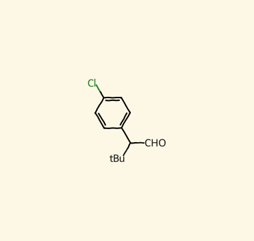 CC(C)(C)C(C=O)c1ccc(Cl)cc1